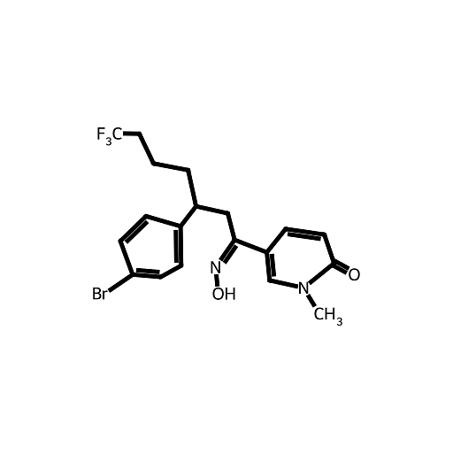 Cn1cc(C(CC(CCCC(F)(F)F)c2ccc(Br)cc2)=NO)ccc1=O